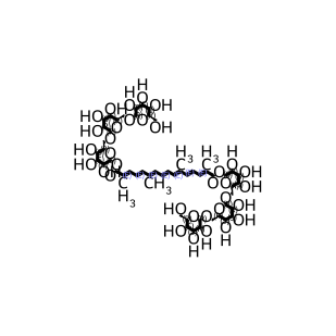 CC(/C=C/C=C(\C)C(=O)O[C@@H]1O[C@H](CO[C@@H]2O[C@H](CO[C@@H]3O[C@H](CO)[C@@H](O)[C@H](O)[C@H]3O)[C@@H](O)[C@H](O)[C@H]2O)[C@@H](O)[C@H](O)[C@H]1O)=C\C=C\C=C(C)\C=C\C=C(/C)C(=O)O[C@@H]1O[C@H](CO[C@@H]2O[C@H](CO[C@@H]3O[C@H](CO)[C@@H](O)[C@H](O)[C@H]3O)[C@@H](O)[C@H](O)[C@H]2O)[C@@H](O)[C@H](O)[C@H]1O